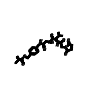 CC(C)C(=O)OCc1ccc(NC(=O)CNC(=O)C(NC(=O)CN2C(=O)C=CC2=O)C(C)C)cc1